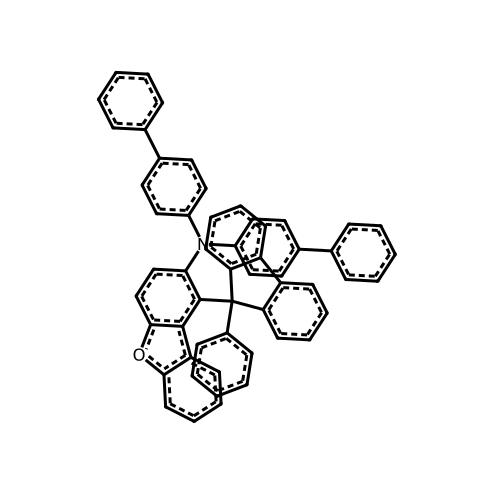 c1ccc(-c2ccc(N(c3ccc(-c4ccccc4)cc3)c3ccc4oc5ccccc5c4c3C3(c4ccccc4)c4ccccc4-c4ccccc43)cc2)cc1